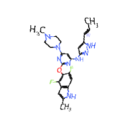 C/C=C/c1cc(Nc2cc(N3CCN(C)CC3)nc(Oc3c(F)cc4[nH]c(C)cc4c3F)n2)n[nH]1